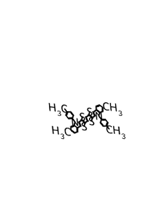 Cc1ccc(-n2c3cc(C)ccc3c3sc4c5sc6c(sc7c8ccc(C)cc8n(-c8ccc(C)cc8)c76)c5sc4c32)cc1